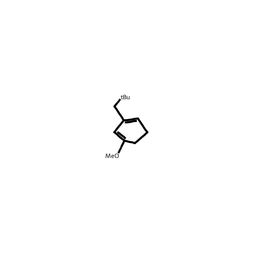 COC1=CC(CC(C)(C)C)=CCC1